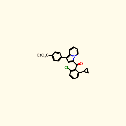 CCOC(=O)c1ccc(-c2cc(C(=O)c3c(Cl)cccc3C3CC3)n3ccccc23)cc1